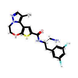 N#Cc1cnn2c1-c1cc(C(=O)N[C@H](CN)Cc3cc(F)cc(F)c3)sc1OCC2